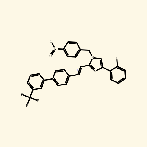 O=[N+]([O-])c1ccc(Cn2cc(-c3ccccc3Cl)nc2/C=C/c2ccc(-c3cccc(C(F)(F)F)c3)cc2)cc1